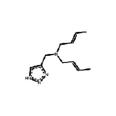 CC=CCN(CC=CC)Cc1c[nH]nn1